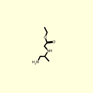 CCOC(=O)CNC(C)CN